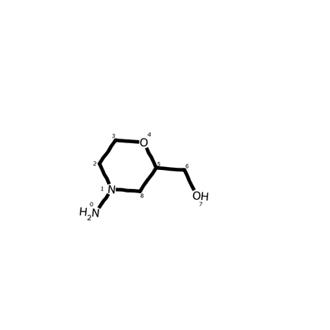 NN1CCOC(CO)C1